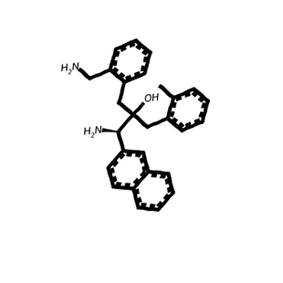 Cc1ccccc1CC(O)(Cc1ccccc1CN)[C@H](N)c1ccc2ccccc2c1